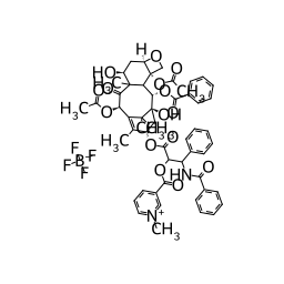 CC(=O)O[C@H]1C(=O)C2(C)C([C@H](OC(=O)c3ccccc3)[C@]3(O)C[C@H](OC(=O)C(OC(=O)c4ccc[n+](C)c4)C(NC(=O)c4ccccc4)c4ccccc4)C(C)=C1C3(C)C)[C@]1(OC(C)=O)CO[C@@H]1C[C@@H]2O.F[B-](F)(F)F